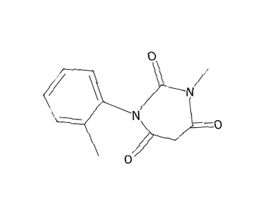 Cc1ccccc1N1C(=O)CC(=O)N(C)C1=O